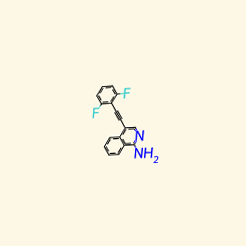 Nc1ncc(C#Cc2c(F)cccc2F)c2ccccc12